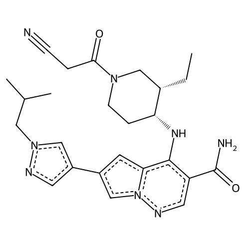 CC[C@H]1CN(C(=O)CC#N)CC[C@H]1Nc1c(C(N)=O)cnn2cc(-c3cnn(CC(C)C)c3)cc12